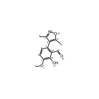 COc1ccc(-c2c(C)noc2C)c(C=O)c1O